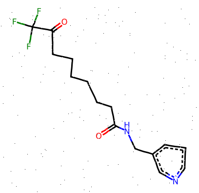 O=C(CCCCCCC(=O)C(F)(F)F)NCc1cccnc1